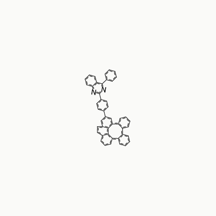 c1ccc(-c2nc(-c3ccc(-c4cc5ccc6cccc7c8ccccc8c8ccccc8c(c4)c5c67)cc3)nc3ccccc23)cc1